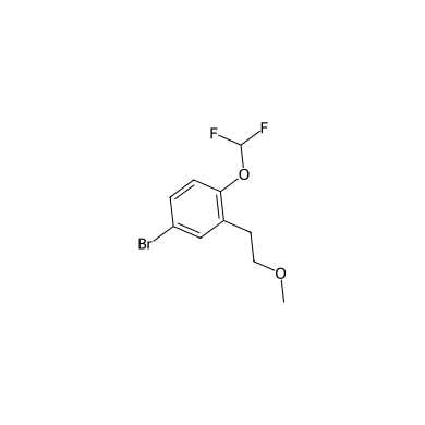 COCCc1cc(Br)ccc1OC(F)F